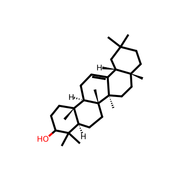 CC1(C)CC[C@]2(C)CC[C@]3(C)C(=CC[C@@H]4[C@@]5(C)CCC(O)C(C)(C)[C@@H]5CC[C@]43C)[C@@H]2C1